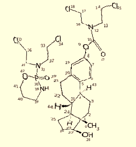 C[C@]12CC[C@@H]3c4ccc(OC(=O)N(CCCl)CCCl)cc4CC[C@H]3[C@@H]1CC[C@@H]2O.O=P1(N(CCCl)CCCl)NCCCO1